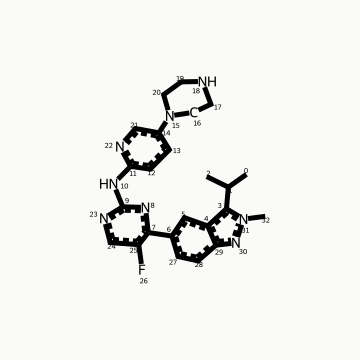 CC(C)c1c2cc(-c3nc(Nc4ccc(N5CCNCC5)cn4)ncc3F)ccc2nn1C